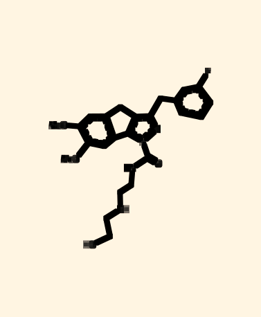 COc1cc2c(cc1OC)-c1c(c(Cc3cccc(F)c3)nn1C(=O)NCCNCCO)C2